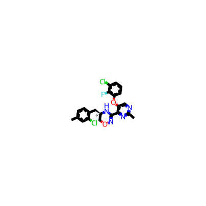 Cc1ccc(C[C@@H]2CON=C(c3nc(C)ncc3Oc3cccc(Cl)c3F)N2)c(Cl)c1